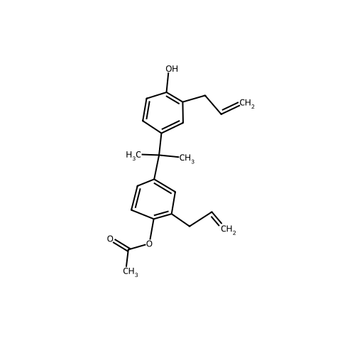 C=CCc1cc(C(C)(C)c2ccc(OC(C)=O)c(CC=C)c2)ccc1O